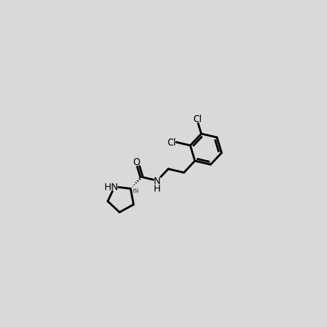 O=C(NCCc1cccc(Cl)c1Cl)[C@@H]1CCCN1